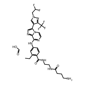 CCc1cc(Nc2nccn3c(-c4cn(CC(F)F)nc4C(F)(F)F)cnc23)ccc1C(=O)NCCNC(=O)CCCN.O=CO